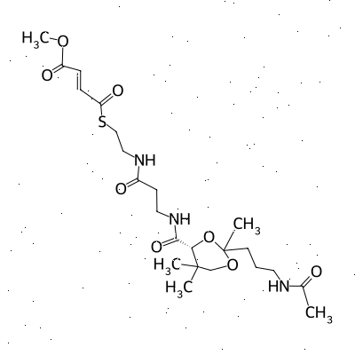 COC(=O)/C=C/C(=O)SCCNC(=O)CCNC(=O)[C@@H]1OC(C)(CCCNC(C)=O)OCC1(C)C